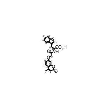 Cc1cc(=O)oc2cc(OCC(=O)N[C@@H](Cc3csc4ccccc34)C(=O)O)ccc12